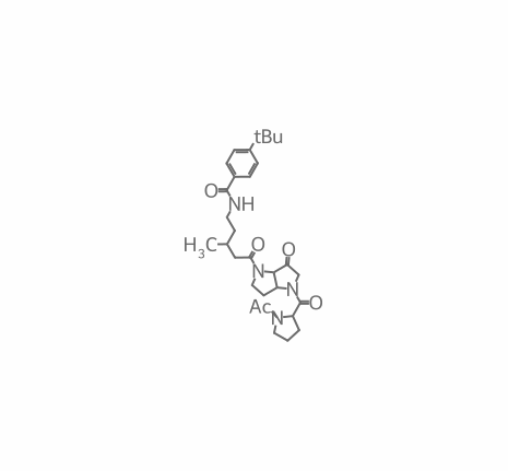 CC(=O)N1CCCC1C(=O)N1CC(=O)C2C1CCN2C(=O)CC(C)CCNC(=O)c1ccc(C(C)(C)C)cc1